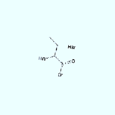 Br.CCC(O)[N+](=O)[O-]